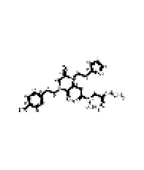 COC(=O)CN(C)C(=O)CC1C(=O)N(CCc2ccc(Cl)cc2)CC(=O)N1CCc1cccs1